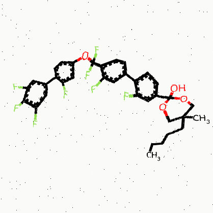 CCCCCC1(C)COC(O)(c2ccc(-c3ccc(C(F)(F)Oc4ccc(-c5cc(F)c(F)c(F)c5)c(F)c4)c(F)c3)c(F)c2)OC1